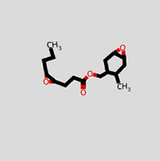 CCCC1OC1CCC(=O)OCC1CC2OC2CC1C